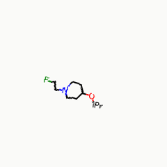 CC(C)OC1CCN(CCF)CC1